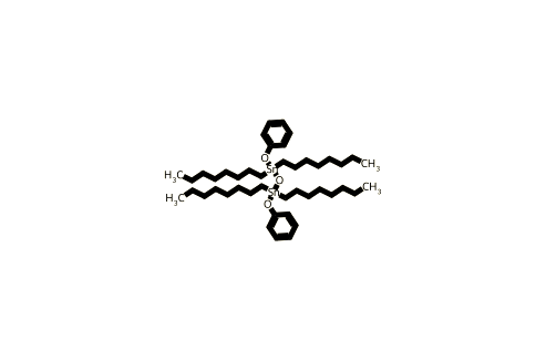 CCCCCCC[CH2][Sn]([CH2]CCCCCCC)([O]c1ccccc1)[O][Sn]([CH2]CCCCCCC)([CH2]CCCCCCC)[O]c1ccccc1